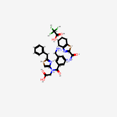 NC(=O)c1nc2c(s1)CCCC2.NCc1cccc(C(=O)N(CC(=O)O)c2csc(Cc3ccccc3)n2)c1.O=C(O)C(F)(F)F